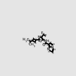 CC(C)C1CC(c2nc(C(F)F)c(NC(=O)c3ccn4cccnc34)o2)C1